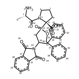 C[C@H](N)C(=O)N1CCC[C@]1(C(=O)O)P(=O)(CC(Cc1ccccc1)N1C(=O)c2ccccc2C1=O)OCc1ccccc1